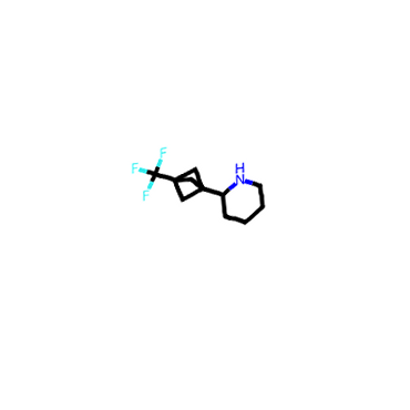 FC(F)(F)C12CC(C3CCCCN3)(C1)C2